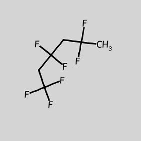 CC(F)(F)CC(F)(F)CC(F)(F)F